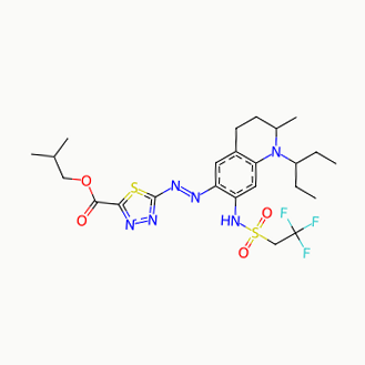 CCC(CC)N1c2cc(NS(=O)(=O)CC(F)(F)F)c(N=Nc3nnc(C(=O)OCC(C)C)s3)cc2CCC1C